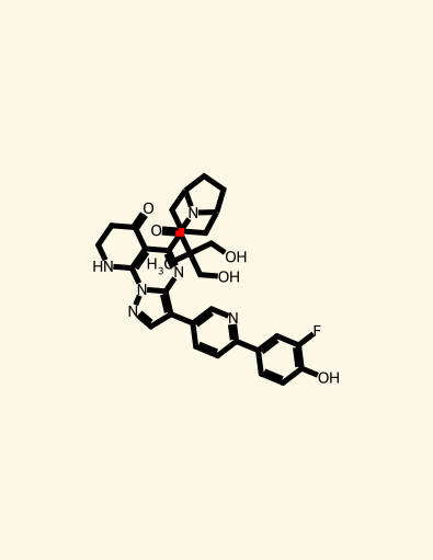 CC(CO)(CO)C(=O)N1C2CCC1CC(c1nc3c(-c4ccc(-c5ccc(O)c(F)c5)nc4)cnn3c3c1C(=O)CCN3)C2